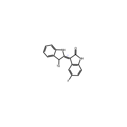 [2H]C1/C(=C2/C(=O)Nc3ccc(F)cc32)Nc2ccccc21